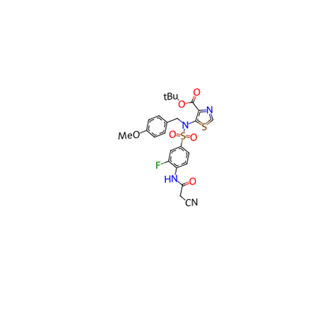 COc1ccc(CN(c2scnc2C(=O)OC(C)(C)C)S(=O)(=O)c2ccc(NC(=O)CC#N)c(F)c2)cc1